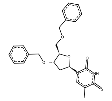 Cc1cn([C@H]2C[C@H](OCc3ccccc3)[C@@H](COCc3ccccc3)O2)c(=O)[nH]c1=S